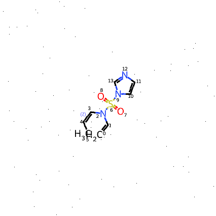 C=CN(/C=C\C)S(=O)(=O)n1ccnc1